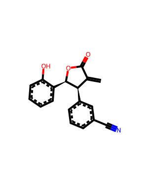 C=C1C(=O)O[C@H](c2ccccc2O)[C@@H]1c1cccc(C#N)c1